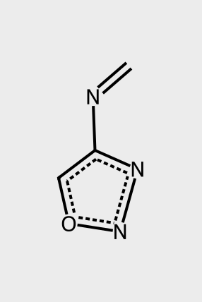 C=Nc1conn1